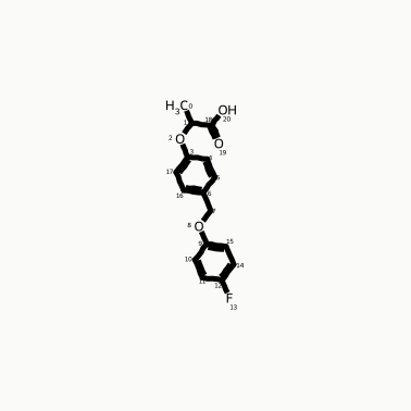 CC(Oc1ccc(COc2ccc(F)cc2)cc1)C(=O)O